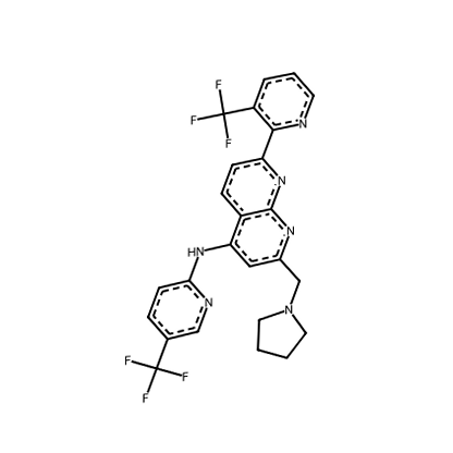 FC(F)(F)c1ccc(Nc2cc(CN3CCCC3)nc3nc(-c4ncccc4C(F)(F)F)ccc23)nc1